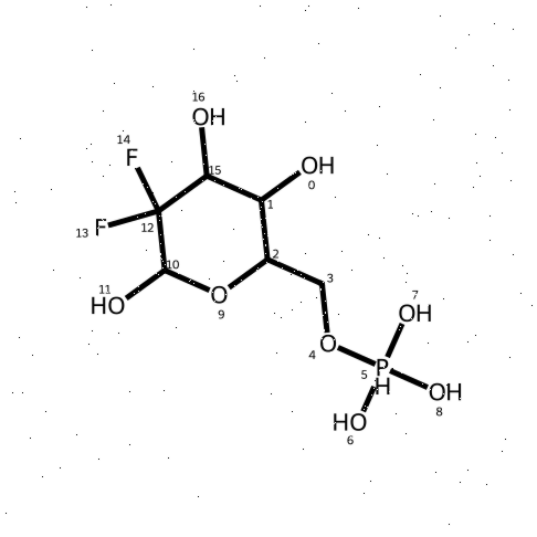 OC1C(CO[PH](O)(O)O)OC(O)C(F)(F)C1O